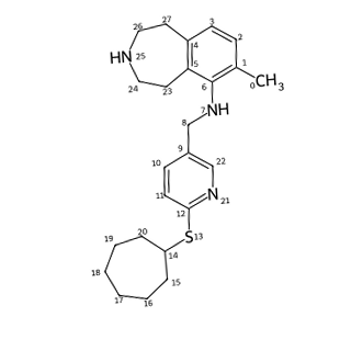 Cc1ccc2c(c1NCc1ccc(SC3CCCCCC3)nc1)CCNCC2